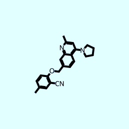 Cc1ccc(OCc2ccc3c(N4CCCC4)cc(C)nc3c2)c(C#N)c1